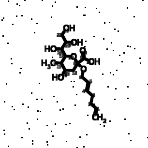 C=CCC/C=C/COC1(C(=O)O)CC(O)C(C)C(C(O)C(O)CO)O1